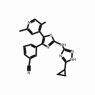 Cc1cc(-c2sc(Nc3n[nH]c(C4CC4)n3)nc2-c2cccc(C#N)c2)c(C)cn1